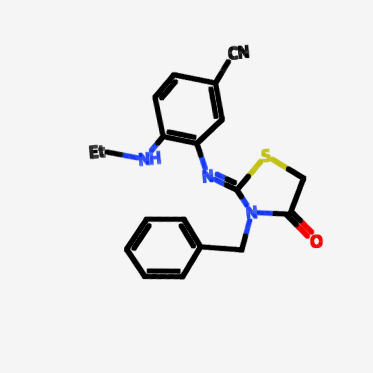 CCNc1ccc(C#N)cc1N=C1SCC(=O)N1Cc1ccccc1